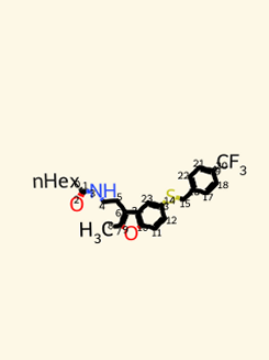 CCCCCCC(=O)NCCc1c(C)oc2ccc(SCc3ccc(C(F)(F)F)cc3)cc12